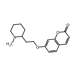 CN1CCCCC1CCOc1ccc2ccc(=O)oc2c1